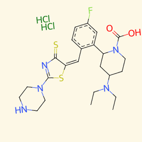 CCN(CC)C1CCN(C(=O)O)C(c2cc(F)ccc2C=C2SC(N3CCNCC3)=NC2=S)C1.Cl.Cl